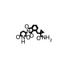 NC(=O)C1(Cc2cccc3c2C(=O)N(C2CCC(=O)NC2=O)C3=O)CC1